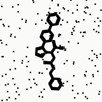 NC(=O)C(CC(=O)OCc1ccccc1)n1cccc1-c1ccc(-c2ccncc2)cc1